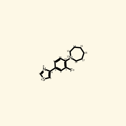 Fc1cc(-c2cs[c]n2)ccc1N1CCCCCC1